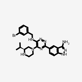 CC(C)[C@H]1CN(c2nc(-c3ccc4[nH]nc(N)c4c3)nnc2NCc2cccc(Br)c2)CCN1